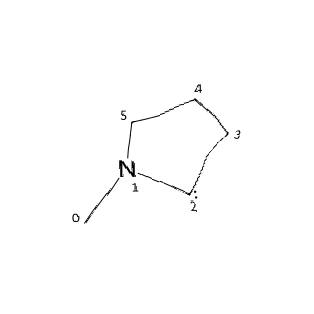 CN1[C]CCC1